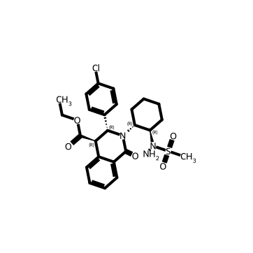 CCOC(=O)[C@@H]1c2ccccc2C(=O)N([C@@H]2CCCC[C@H]2N(N)S(C)(=O)=O)[C@H]1c1ccc(Cl)cc1